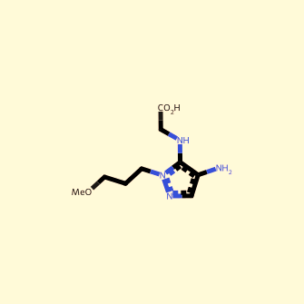 COCCCn1ncc(N)c1NCC(=O)O